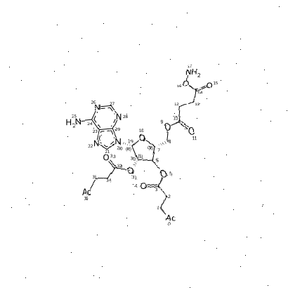 CC(=O)CCC(=O)OC1[C@@H](COC(=O)CCC(=O)ON)O[C@@H](n2cnc3c(N)ncnc32)[C@H]1OC(=O)CCC(C)=O